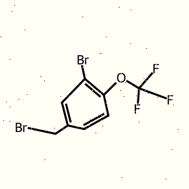 FC(F)(F)Oc1ccc(CBr)cc1Br